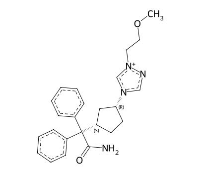 COCC[n+]1cn([C@@H]2CC[C@H](C(C(N)=O)(c3ccccc3)c3ccccc3)C2)cn1